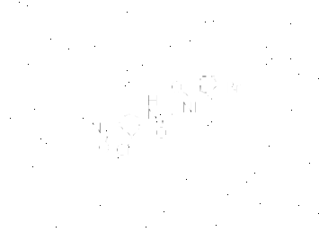 CC(C)(NC(=O)c1ccc(Br)s1)C(=O)Nc1ccc(C(=O)N2CCCC2)c(Cl)c1